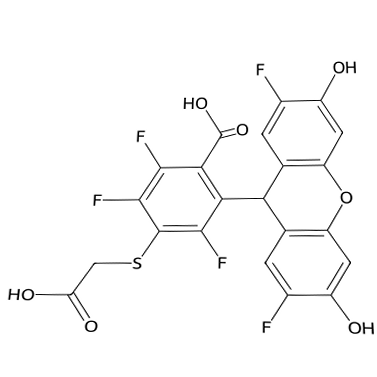 O=C(O)CSc1c(F)c(F)c(C(=O)O)c(C2c3cc(F)c(O)cc3Oc3cc(O)c(F)cc32)c1F